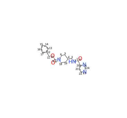 O=C(NCC1CCN(C(=O)OCc2ccccc2)CC1)c1ccncn1